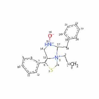 C=CC[N+]12CSC(c3ccccc3)C1C[NH+]([O-])C2Cc1ccccc1